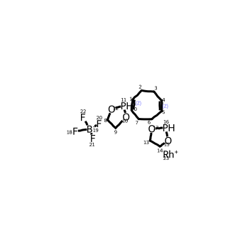 C1=C\CC/C=C\CC/1.C1COPO1.C1COPO1.F[B-](F)(F)F.[Rh+]